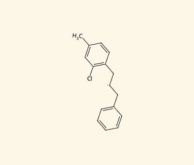 Cc1ccc(C[CH]Cc2ccccc2)c(Cl)c1